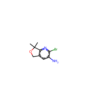 CC1(C)OCc2cc(N)c(Br)nc21